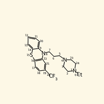 CCN1CCN(CCCN2c3ccccc3Sc3ccc(C(F)(F)F)cc32)CC1